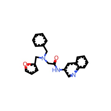 O=C(CN(Cc1ccccc1)Cc1ccco1)Nc1cnc2ccccc2c1